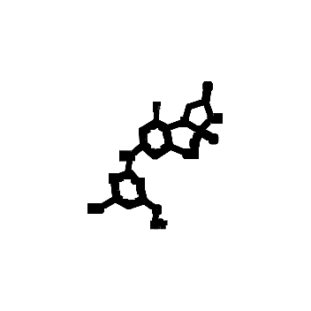 CCCOc1cc(O)nc(Nc2cc(O)c(N3CC(=O)NS3(=O)=O)c(F)c2)n1